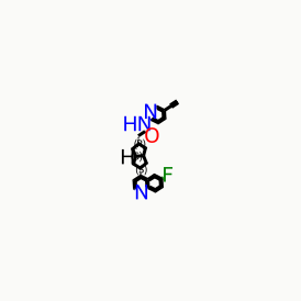 C#Cc1ccc(NC(=O)C[C@@H]2CC3C[C@H](c4ccnc5ccc(F)cc45)C[C@@H]3C2)nc1